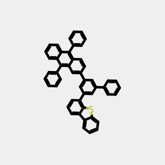 c1ccc(-c2cc(-c3ccc4c(-c5ccccc5)c5ccccc5c(-c5ccccc5)c4c3)cc(-c3cccc4c3sc3ccccc34)c2)cc1